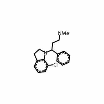 CNCCC(c1ccccc1)N1CCc2cccc(Cl)c21